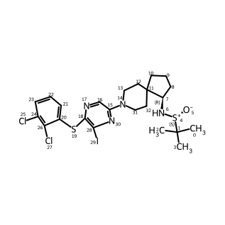 CC(C)(C)[S@@+]([O-])N[C@@H]1CCCC12CCN(c1cnc(Sc3cccc(Cl)c3Cl)c(I)n1)CC2